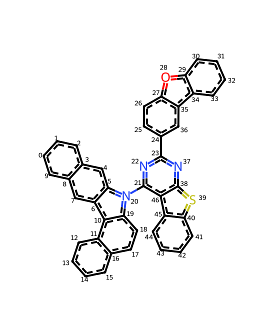 c1ccc2cc3c(cc2c1)c1c2ccccc2ccc1n3-c1nc(-c2ccc3oc4ccccc4c3c2)nc2sc3ccccc3c12